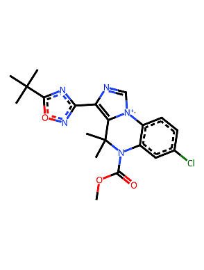 COC(=O)N1c2cc(Cl)ccc2[N+]2C=NC(c3noc(C(C)(C)C)n3)=C2C1(C)C